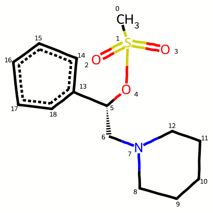 CS(=O)(=O)O[C@H](CN1CCCCC1)c1ccccc1